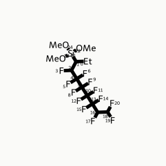 CCC(C(F)C(F)(F)C(F)(F)C(F)(F)C(F)(F)C(F)C(F)F)[Si](OC)(OC)OC